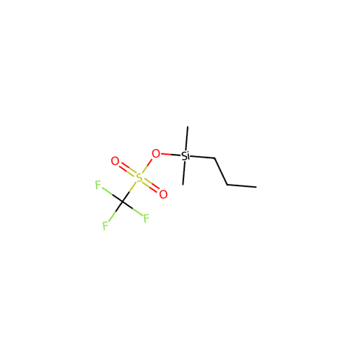 CCC[Si](C)(C)OS(=O)(=O)C(F)(F)F